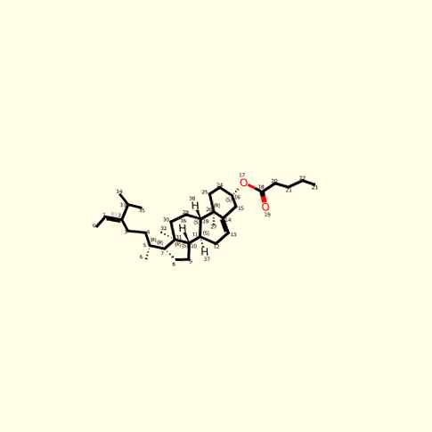 C/C=C(\CC[C@@H](C)[C@H]1CC[C@H]2[C@@H]3CC=C4C[C@@H](OC(=O)CCCC)CC[C@]4(C)[C@H]3CC[C@]12C)C(C)C